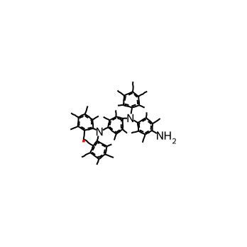 Cc1c(C)c(C)c(N(c2c(C)c(C)c(C)c(C)c2C)c2c(C)c(C)c(N(c3c(C)c(C)c(C)c(C)c3C)c3c(C)c(C)c(N)c(C)c3C)c(C)c2C)c(C)c1C